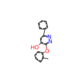 Cc1ccccc1Oc1nnc(-c2ccccc2)cc1O